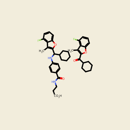 Cc1c(C(=O)C2CCCCC2)oc2cccc(F)c12.Cc1c(C(Nc2ccc(C(=O)NCCC(=O)O)cc2)C2CCCCC2)oc2cccc(F)c12